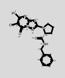 CC(C)c1nc2sc(N3CCC[C@@H]3C(=O)NCc3ccccc3)nn2c(=O)c1Cl